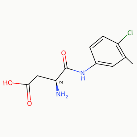 Cc1cc(NC(=O)[C@@H](N)CC(=O)O)ccc1Cl